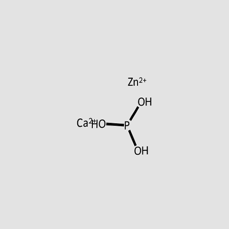 OP(O)O.[Ca+2].[Zn+2]